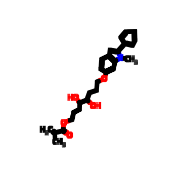 C=C(C)C(=O)OCCCC(O)C(O)CCCOc1ccc2cc(-c3ccccc3)n(C)c2c1